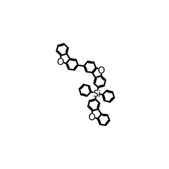 c1ccc([Si](c2ccccc2)(c2ccc3oc4ccccc4c3c2)c2ccc3oc4ccc(-c5ccc6oc7ccccc7c6c5)cc4c3c2)cc1